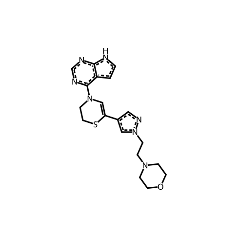 C1=C(c2cnn(CCN3CCOCC3)c2)SCCN1c1ncnc2[nH]ccc12